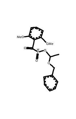 COc1cccc(OC)c1C(=O)[PH](=O)OC(C)OCc1ccccc1